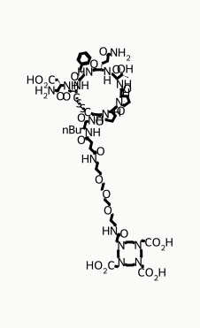 CCCC[C@H](NC(=O)CCC(=O)NCCCOCCOCCOCCCNC(=O)CN1CCN(CC(=O)O)CCN(CC(=O)O)CCN(CC(=O)O)CC1)C(=O)N[C@H]1CSSC[C@@H](C(=O)N[C@@H](CC(=O)O)C(N)=O)NC(=O)[C@H](Cc2ccccc2)NC(=O)[C@H](CCC(N)=O)NC(=O)[C@H]([C@@H](C)O)NC(=O)[C@@H]2CCCN2C(=O)[C@@H]2CCCN2C1=O